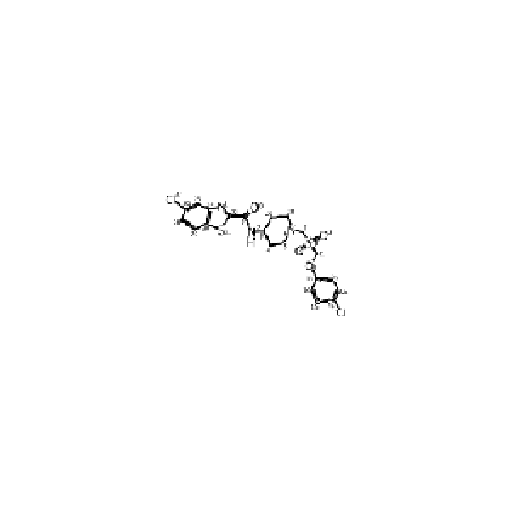 O=C(NC1CCN(CS(=O)(=O)COc2ccc(Cl)cc2)CC1)c1nc2cc(Cl)ccc2s1